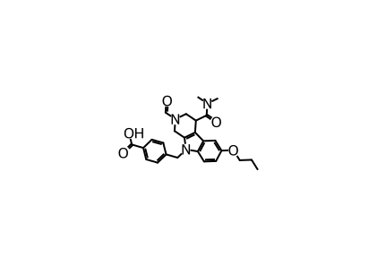 CCCOc1ccc2c(c1)c1c(n2Cc2ccc(C(=O)O)cc2)CN(C=O)CC1C(=O)N(C)C